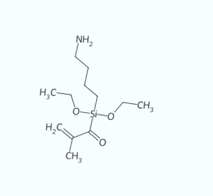 C=C(C)C(=O)[Si](CCCCN)(OCC)OCC